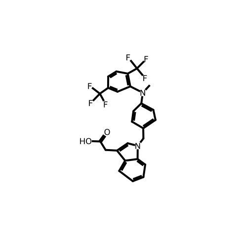 CN(c1ccc(Cn2cc(CC(=O)O)c3ccccc32)cc1)c1cc(C(F)(F)F)ccc1C(F)(F)F